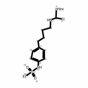 CCCCCCC(CC)NCCCCc1ccc(NS(=O)(=O)CC)cc1